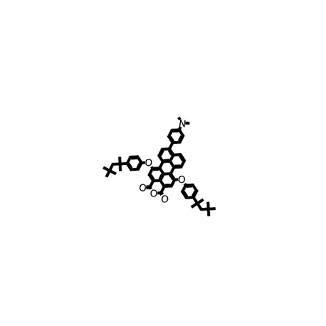 CN(C)c1ccc(-c2ccc3c4c(Oc5ccc(C(C)(C)CC(C)(C)C)cc5)cc5c6c(cc(Oc7ccc(C(C)(C)CC(C)(C)C)cc7)c(c7cccc2c73)c64)C(=O)OC5=O)cc1